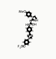 COc1ccc(N2CCN/C2=N\C(O)Nc2ccc(-c3ncn(-c4ccc(OC(F)(F)F)cc4)n3)cc2)cc1